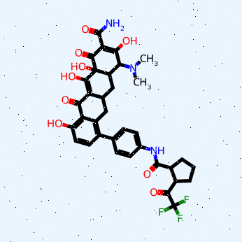 CN(C)C1C(O)=C(C(N)=O)C(=O)C2(O)C(O)=C3C(=O)c4c(O)ccc(-c5ccc(NC(=O)C6CCCC6C(=O)C(F)(F)F)cc5)c4CC3CC12